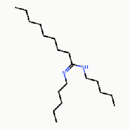 CCCCCCCCC(=NCCCCC)NCCCCC